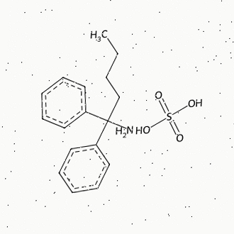 CCCCC(N)(c1ccccc1)c1ccccc1.O=S(=O)(O)O